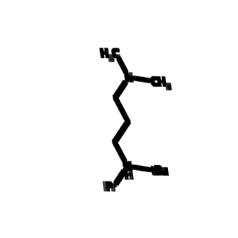 CC(C)[SiH](CCCN(C)C)C(C)(C)C